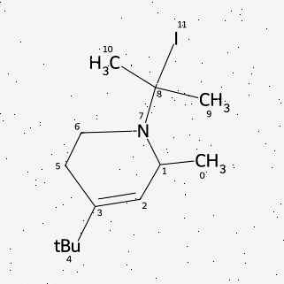 CC1C=C(C(C)(C)C)CCN1C(C)(C)I